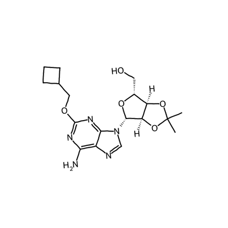 CC1(C)O[C@@H]2[C@H](O1)[C@@H](CO)O[C@H]2n1cnc2c(N)nc(OCC3CCC3)nc21